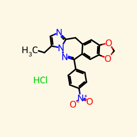 CCc1cnc2n1N=C(c1ccc([N+](=O)[O-])cc1)c1cc3c(cc1C2)OCO3.Cl